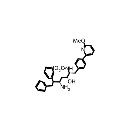 COc1cccc(-c2ccc(C[C@H](NC(=O)O)[C@H](O)C[C@H](N)C(Cc3ccccc3)c3ccccc3)cc2)n1